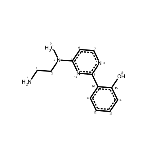 CN(CCN)c1ccnc(-c2ccccc2O)n1